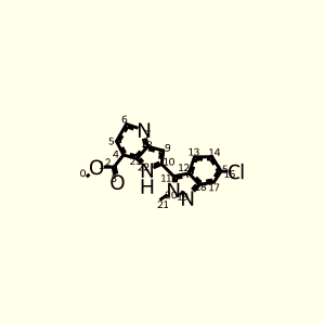 COC(=O)c1ccnc2cc(-c3c4ccc(Cl)cc4nn3C)[nH]c12